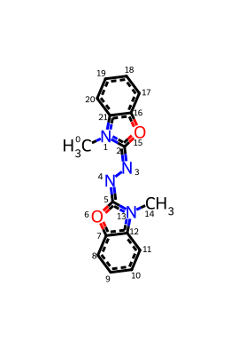 Cn1c(=NN=c2oc3ccccc3n2C)oc2ccccc21